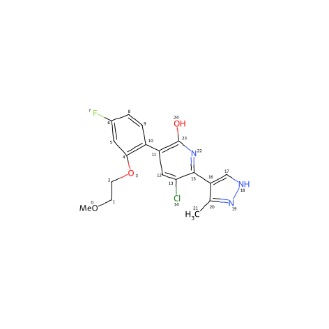 COCCOc1cc(F)ccc1-c1cc(Cl)c(-c2c[nH]nc2C)nc1O